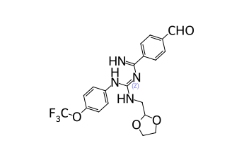 N=C(/N=C(/NCC1OCCO1)Nc1ccc(OC(F)(F)F)cc1)c1ccc(C=O)cc1